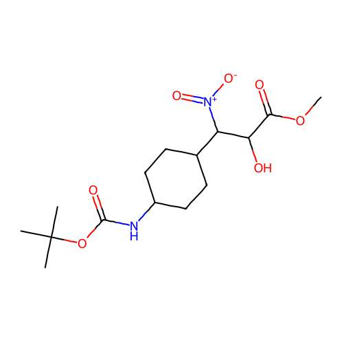 COC(=O)C(O)C(C1CCC(NC(=O)OC(C)(C)C)CC1)[N+](=O)[O-]